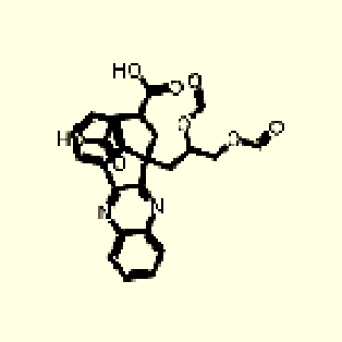 O=COCC(CC1(CC(CC(=O)O)C(=O)O)c2ccccc2-c2nc3ccccc3nc21)OC=O